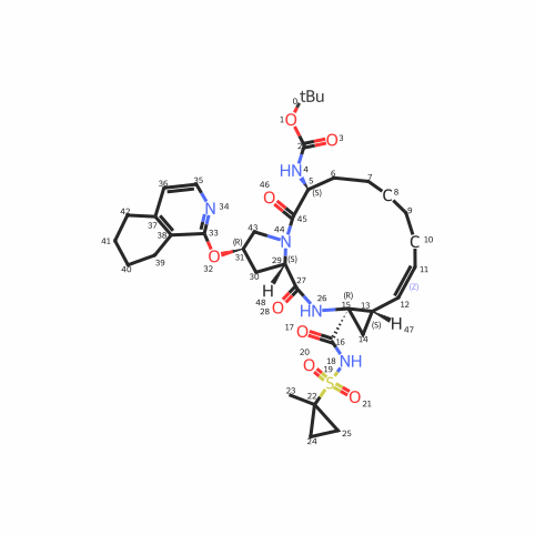 CC(C)(C)OC(=O)N[C@H]1CCCCC/C=C\[C@@H]2C[C@@]2(C(=O)NS(=O)(=O)C2(C)CC2)NC(=O)[C@@H]2C[C@@H](Oc3nccc4c3CCCC4)CN2C1=O